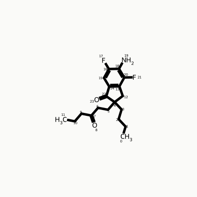 CCCCC1(CCC(=O)CCC)Cc2c(cc(F)c(N)c2F)C1=O